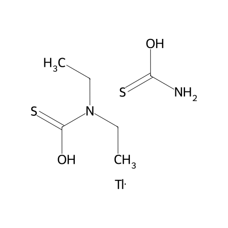 CCN(CC)C(O)=S.NC(O)=S.[Tl]